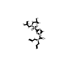 C=CCN(CC=C)C(=O)n1cnc(S(=O)(=O)N(CC(=C)C)CC(=C)C)n1